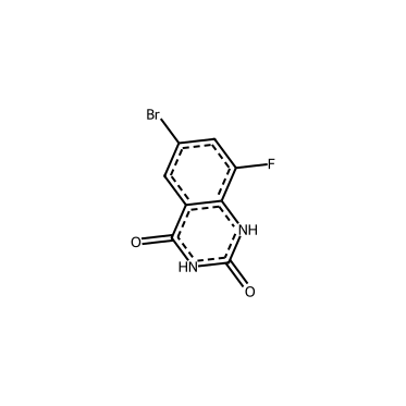 O=c1[nH]c(=O)c2cc(Br)cc(F)c2[nH]1